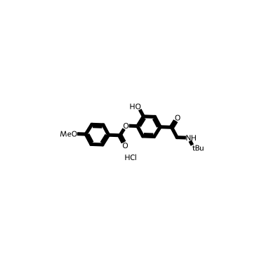 COc1ccc(C(=O)Oc2ccc(C(=O)CNC(C)(C)C)cc2O)cc1.Cl